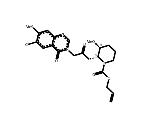 C=CCOC(=O)N1CCC[C@H](OC)[C@H]1CC(=O)Cn1cnc2cc(SC)c(Cl)cc2c1=O